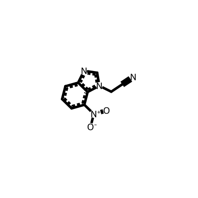 N#CCn1cnc2cccc([N+](=O)[O-])c21